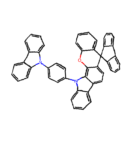 c1ccc2c(c1)Oc1c(ccc3c4ccccc4n(-c4ccc(-n5c6ccccc6c6ccccc65)cc4)c13)C21c2ccccc2-c2ccccc21